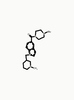 CN1CCCC(Cn2ccc3cc(C(=O)N4CCN(C(C)(C)C)CC4)ccc32)C1